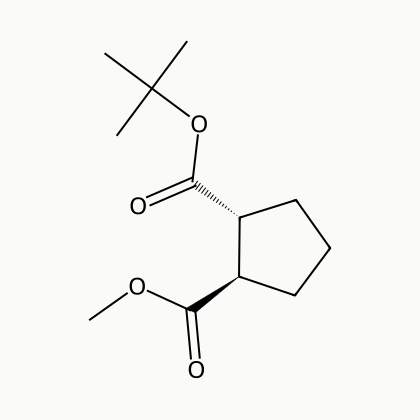 COC(=O)[C@@H]1CCC[C@H]1C(=O)OC(C)(C)C